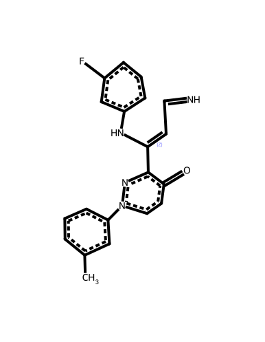 Cc1cccc(-n2ccc(=O)c(/C(=C/C=N)Nc3cccc(F)c3)n2)c1